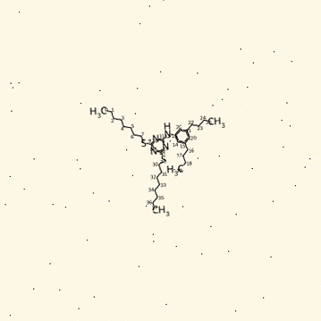 CCCCCCCCSc1nc(Nc2cc(CCCC)[c]c(CCCC)c2)nc(SCCCCCCCC)n1